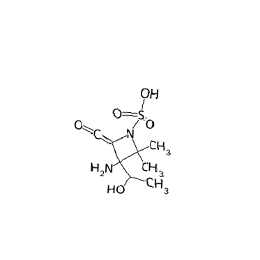 CC(O)C1(N)C(=C=O)N(S(=O)(=O)O)C1(C)C